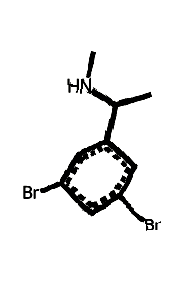 CNC(C)c1cc(Br)cc(Br)c1